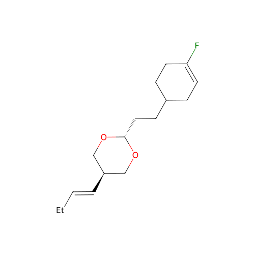 CC/C=C/[C@H]1CO[C@H](CCC2CC=C(F)CC2)OC1